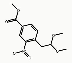 COC(=O)c1ccc(CC(OC)OC)c([N+](=O)[O-])c1